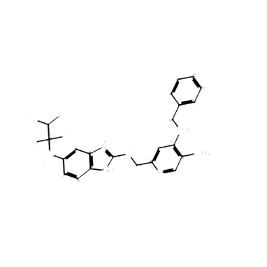 COc1cnc(CSc2nc3cc(OC(F)(F)C(F)F)ccc3[nH]2)cc1OCc1ccccc1